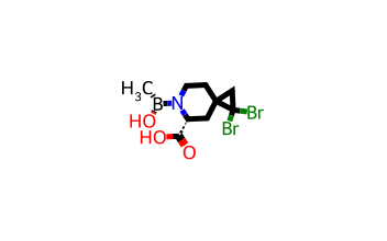 CB(O)N1CCC2(C[C@@H]1C(=O)O)CC2(Br)Br